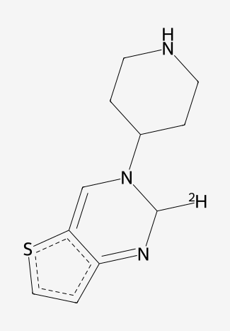 [2H]C1N=c2ccsc2=CN1C1CCNCC1